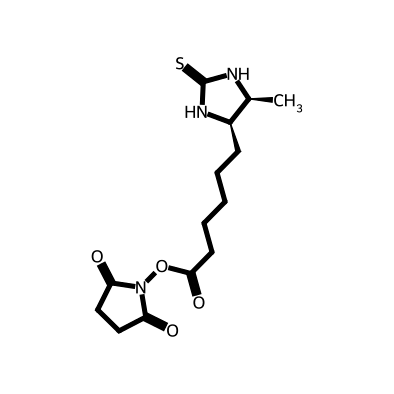 C[C@@H]1NC(=S)N[C@@H]1CCCCCC(=O)ON1C(=O)CCC1=O